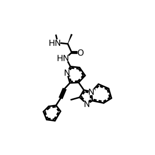 CN[C@@H](C)C(=O)Nc1ccc(-c2c(C)nc3ccccn23)c(C#Cc2ccccc2)n1